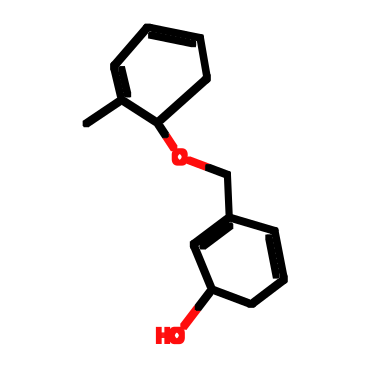 CC1=CC=CCC1OCC1=CC(O)CC=C1